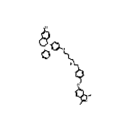 Cc1nn(C)c2cc(OCc3ccc(CNCCCCOc4ccc([C@H]5c6ccc(O)cc6CC[C@H]5c5ccccc5)cc4)cc3)ccc12